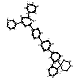 c1cncc(-c2cc(-c3ccc(-c4ccc(-c5ccc6c(c5)-c5ccccc5C65CCCCC5)cc4)cc3)nc(-c3cccnc3)c2)c1